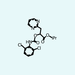 CC(C)OC(=O)C(Cc1ncccn1)OC(=O)Nc1c(Cl)cccc1Cl